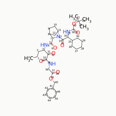 CCCC(NC(=O)C1C2CCC(C2)N1C(=O)[C@@H](NC(=O)OC(C)(C)C)C1CCCCC1)C(=O)C(=O)NCC(=O)OCc1ccccc1